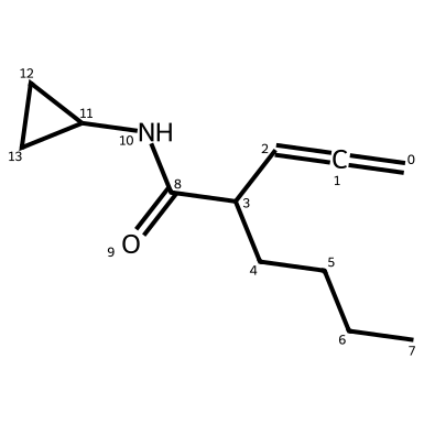 C=C=CC(CCCC)C(=O)NC1CC1